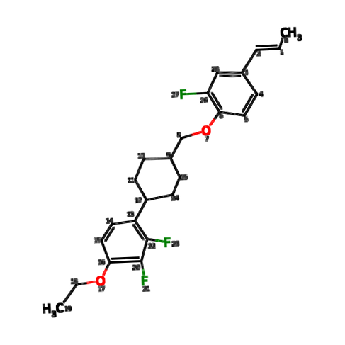 C/C=C/c1ccc(OCC2CCC(c3ccc(OCC)c(F)c3F)CC2)c(F)c1